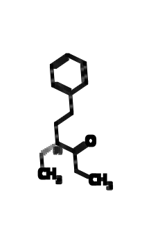 CCC(=O)[C@H](CC)CCc1ccccc1